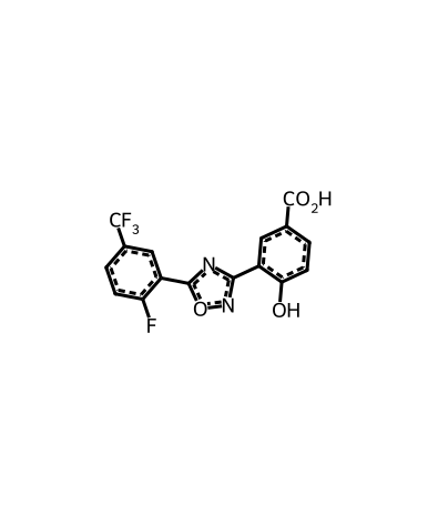 O=C(O)c1ccc(O)c(-c2noc(-c3cc(C(F)(F)F)ccc3F)n2)c1